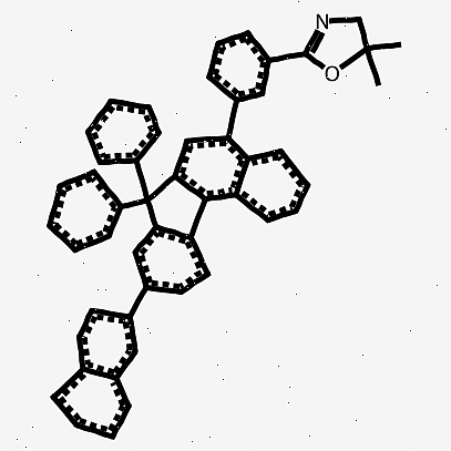 CC1(C)CN=C(c2cccc(-c3cc4c(c5ccccc35)-c3ccc(-c5ccc6ccccc6c5)cc3C4(c3ccccc3)c3ccccc3)c2)O1